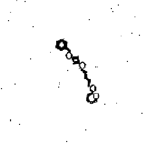 c1ccc(CO[C@H]2C[C@@H](OCCCCCOC3CCCCO3)C2)cc1